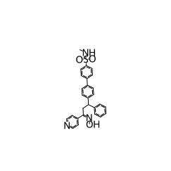 CNS(=O)(=O)c1ccc(-c2ccc(C(CC(=NO)c3ccncc3)c3ccccc3)cc2)cc1